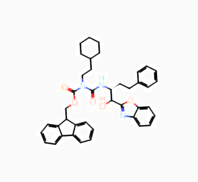 O=C(N[C@@H](CCc1ccccc1)C(O)c1nc2ccccc2o1)N(CCC1CCCCC1)C(=O)OCC1c2ccccc2-c2ccccc21